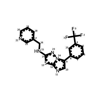 FC(F)(F)c1cccc(-c2cnc3sc(NCc4cccnc4)nn23)c1